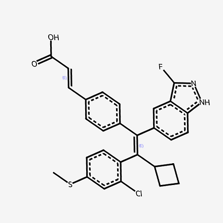 CSc1ccc(/C(=C(\c2ccc(/C=C/C(=O)O)cc2)c2ccc3[nH]nc(F)c3c2)C2CCC2)c(Cl)c1